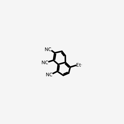 C[CH]c1ccc(C#N)c2c(C#N)c(C#N)ccc12